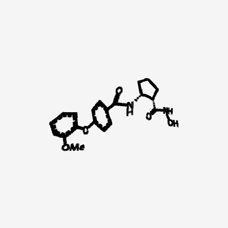 COc1ccccc1Oc1ccc(C(=O)N[C@@H]2CCC[C@@H]2C(=O)NO)cc1